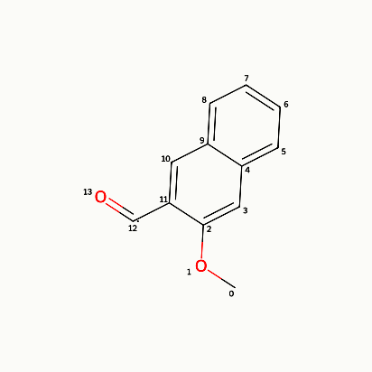 COc1cc2ccccc2cc1[C]=O